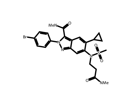 CNC(=O)CCN(c1cc2nn(-c3ccc(Br)cc3)c(C(=O)NC)c2cc1C1CC1)S(C)(=O)=O